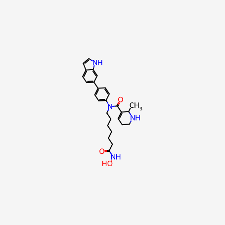 CC1NCCC=C1C(=O)N(CCCCCCC(=O)NO)c1ccc(-c2ccc3cc[nH]c3c2)cc1